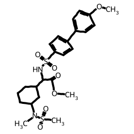 COC(=O)C(NS(=O)(=O)c1ccc(-c2ccc(OC)cc2)cc1)C1CCCC(N(C)S(C)(=O)=O)C1